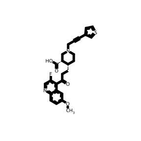 COc1ccc2ncc(F)c(C(=O)CC[C@H]3CCN(CC#Cc4ccsc4)C[C@H]3C(=O)O)c2c1